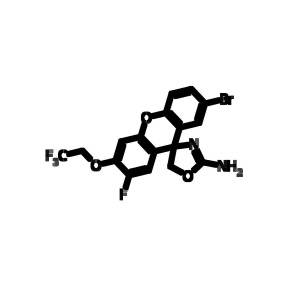 NC1=NC2(CO1)c1cc(Br)ccc1Oc1cc(OCC(F)(F)F)c(F)cc12